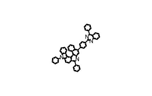 c1ccc(-c2nc(-c3ccc(-c4cc5nc(-c6ccccc6)c6ccc7c(c8ccccc8n7-c7ccccc7)c6c5c5ccccc45)cc3)nc3ccccc23)cc1